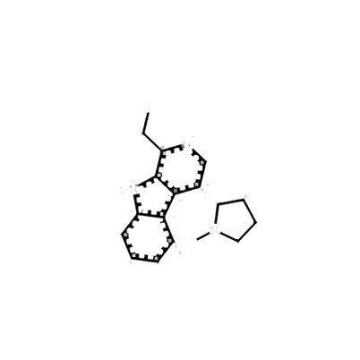 CN1CCC[C@H]1c1cnc(CI)c2[nH]c3ccccc3c12